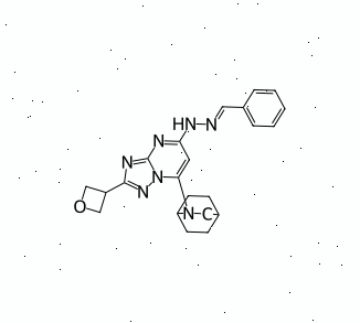 C(=N\Nc1cc(N2CC3CCC2CC3)n2nc(C3COC3)nc2n1)/c1ccccc1